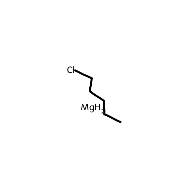 CCCCCCl.[MgH2]